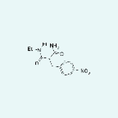 CCN(CC)C(=O)C(Cc1ccc([N+](=O)[O-])cc1)C(N)=O